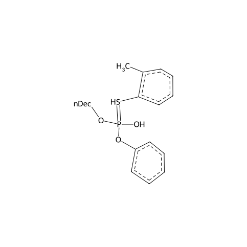 CCCCCCCCCCOP(O)(Oc1ccccc1)=[SH]c1ccccc1C